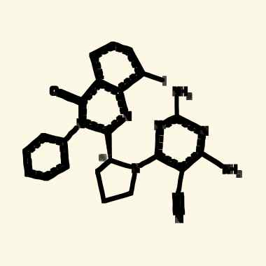 N#Cc1c(N)nc(N)nc1N1CCC[C@H]1c1nc2c(I)cccc2c(=O)n1-c1ccccc1